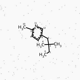 CCC(C)(C)Cc1ccc(C)nc1